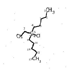 CCCCC[Si](Cl)(CCl)CCCCC